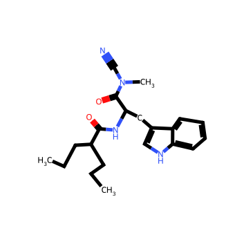 CCCC(CCC)C(=O)NC(Cc1c[nH]c2ccccc12)C(=O)N(C)C#N